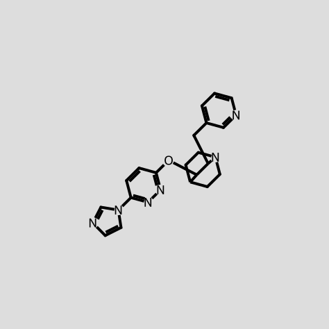 c1cncc(CC2C(Oc3ccc(-n4ccnc4)nn3)C3CCN2CC3)c1